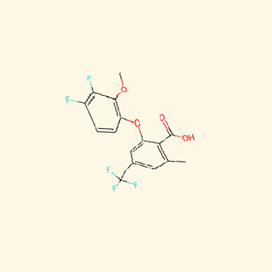 COc1c(Oc2cc(C(F)(F)F)cc(C)c2C(=O)O)ccc(F)c1F